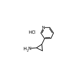 Cl.NC1CC1c1cccnc1